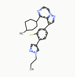 N#CCCn1cc(-c2ccc(-c3cnn4ccnc(C5CCC(C#N)CC5)c34)cc2F)cn1